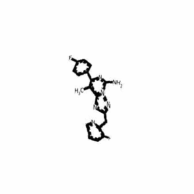 Cc1c(-c2ccc(F)cc2)nc(N)n2nc(Cc3ncccc3F)nc12